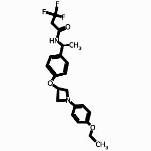 CCOc1ccc(N2CC(Oc3ccc([C@H](C)NC(=O)CC(F)(F)F)cc3)C2)cc1